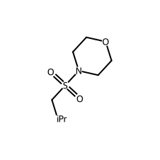 CC(C)CS(=O)(=O)N1CCOCC1